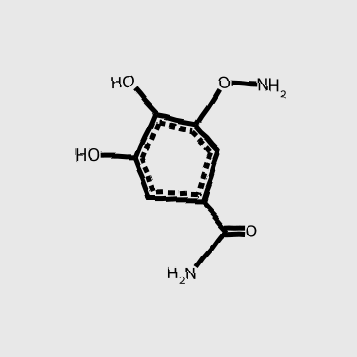 NOc1cc(C(N)=O)cc(O)c1O